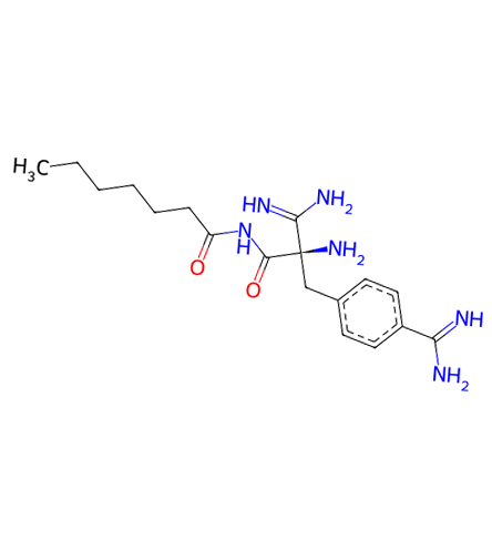 CCCCCCC(=O)NC(=O)[C@@](N)(Cc1ccc(C(=N)N)cc1)C(=N)N